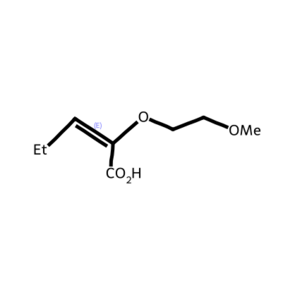 CC/C=C(/OCCOC)C(=O)O